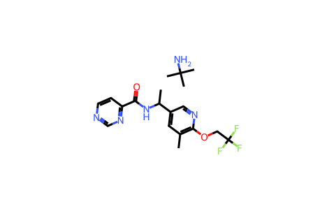 CC(C)(C)N.Cc1cc(C(C)NC(=O)c2ccncn2)cnc1OCC(F)(F)F